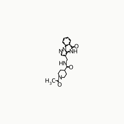 CC(=O)N1CCC(C(=O)NCc2cnn3c2[nH]c(=O)c2ccccc23)CC1